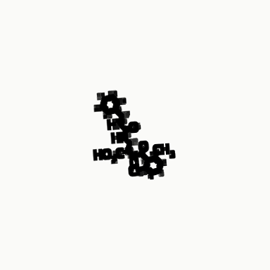 Cc1cccc(Cl)c1C(=O)N[C@@H](CNC(=O)NCc1ccccc1)C(=O)O